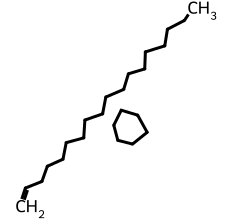 C1CCCCC1.C=CCCCCCCCCCCCCCCCC